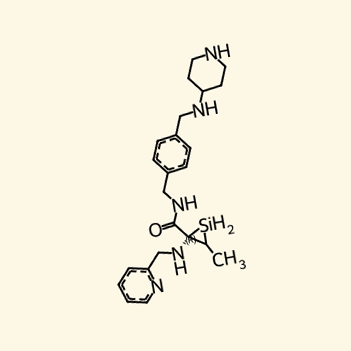 CC1[SiH2][C@]1(NCc1ccccn1)C(=O)NCc1ccc(CNC2CCNCC2)cc1